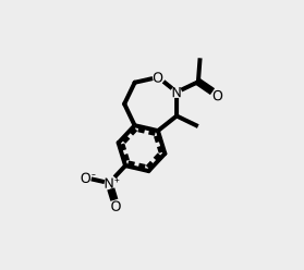 CC(=O)N1OCCc2cc([N+](=O)[O-])ccc2C1C